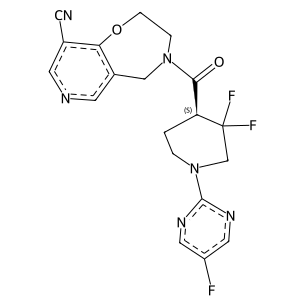 N#Cc1cncc2c1OCCN(C(=O)[C@@H]1CCN(c3ncc(F)cn3)CC1(F)F)C2